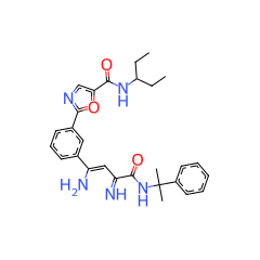 CCC(CC)NC(=O)c1cnc(-c2cccc(/C(N)=C/C(=N)C(=O)NC(C)(C)c3ccccc3)c2)o1